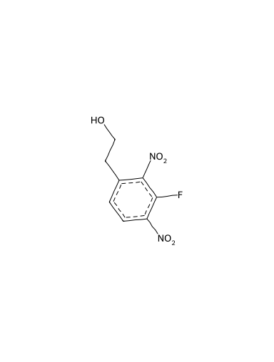 O=[N+]([O-])c1ccc(CCO)c([N+](=O)[O-])c1F